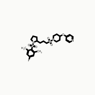 Cc1cc(F)cc(C)c1S(=O)(=O)N1CCCC1CCCS(=O)(=O)N1CCC(Oc2ccncc2)CC1